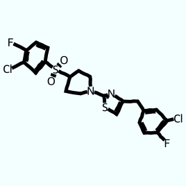 O=S(=O)(c1ccc(F)c(Cl)c1)C1CCN(c2nc(Cc3ccc(F)c(Cl)c3)cs2)CC1